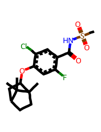 CC1(C)C2CCC1(C)C(Oc1cc(F)c(C(=O)NS(C)(=O)=O)cc1Cl)C2